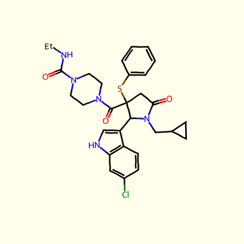 CCNC(=O)N1CCN(C(=O)C2(Sc3ccccc3)CC(=O)N(CC3CC3)C2c2c[nH]c3cc(Cl)ccc23)CC1